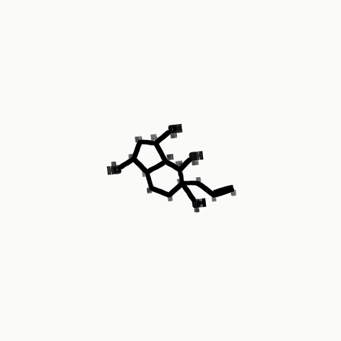 C=CCC1(O)CCC2C(O)CC(O)C2C1O